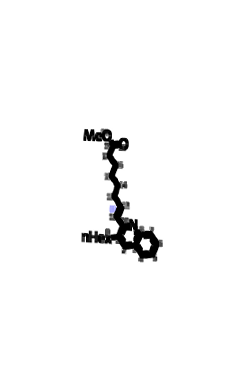 CCCCCCc1cc2ccccc2nc1/C=C/CCCCCC(=O)OC